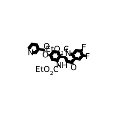 CCOC(=O)Nc1cc(OC(=O)c2cccnc2)ccc1-c1cc(=O)c2cc(F)c(F)cc2n1C(=O)OCC